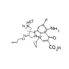 C=CCO/N=C1\CN([N+]2(C3CC3)C=C(C(=O)O)C(=O)c3c(N)c(F)cc(F)c32)CC1(C)CN.Cl